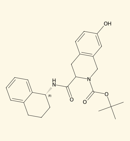 CC(C)(C)OC(=O)N1Cc2cc(O)ccc2CC1C(=O)N[C@@H]1CCCc2ccccc21